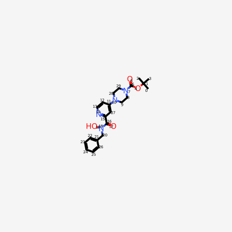 CC(C)(C)OC(=O)N1CCN(c2ccnc(C(=O)N(O)Cc3ccccc3)c2)CC1